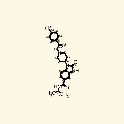 CC(C)NC(=O)c1ccc2c(c1)[nH]c(=O)n2C1CCN(CC(=O)c2ccc(Cl)cc2)CC1